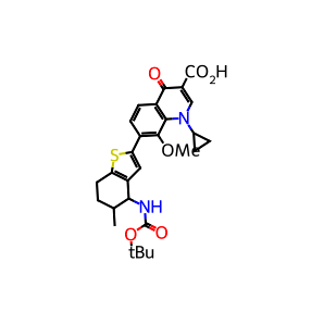 COc1c(-c2cc3c(s2)CCC(C)C3NC(=O)OC(C)(C)C)ccc2c(=O)c(C(=O)O)cn(C3CC3)c12